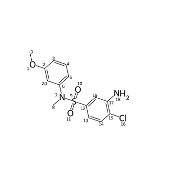 COc1cccc(N(C)S(=O)(=O)c2ccc(Cl)c(N)c2)c1